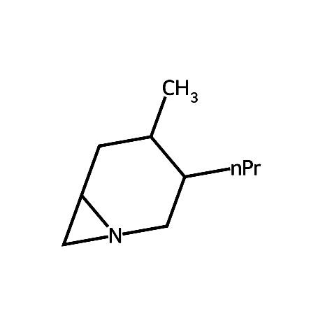 CCCC1CN2CC2CC1C